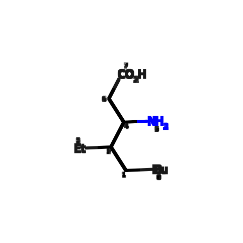 CCC(C)CC(CC)C(N)CC(=O)O